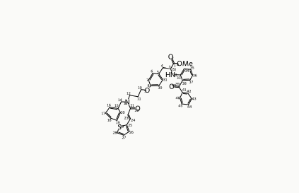 COC(=O)[C@H](Cc1ccc(OCCCN(Cc2ccccc2)C(=O)C=Cc2cccs2)cc1)Nc1ccccc1C(=O)c1ccccc1